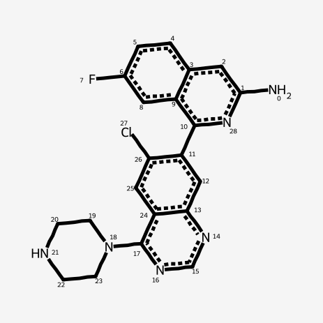 Nc1cc2ccc(F)cc2c(-c2cc3ncnc(N4CCNCC4)c3cc2Cl)n1